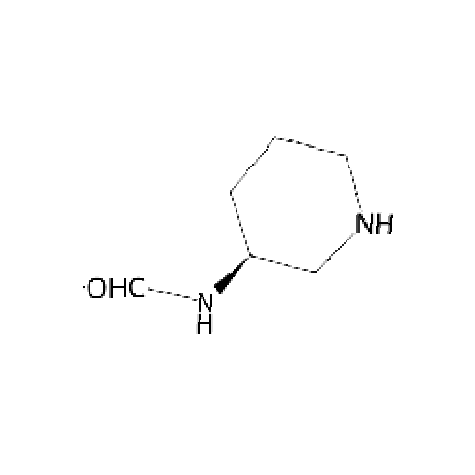 O=[C]N[C@H]1CCCNC1